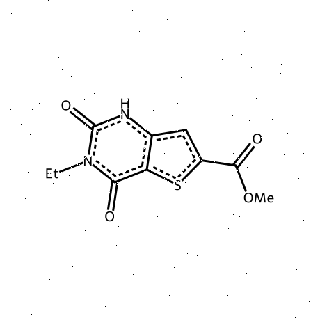 CCn1c(=O)[nH]c2cc(C(=O)OC)sc2c1=O